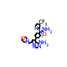 NC(=O)N(c1cc(C(F)(F)F)ccn1)c1ccc(-c2cc(CN3CCOCC3)n3ncnc(N)c23)cc1F